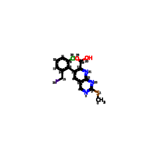 CSc1ncc2cc(-c3c(Cl)cccc3CI)c(C(=O)O)nc2n1